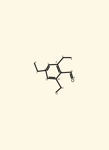 CCc1cc(CC)c(C=O)c(CC)c1